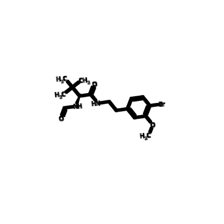 COc1cc(CCNC(=O)[C@@H](NC=O)C(C)(C)C)ccc1Br